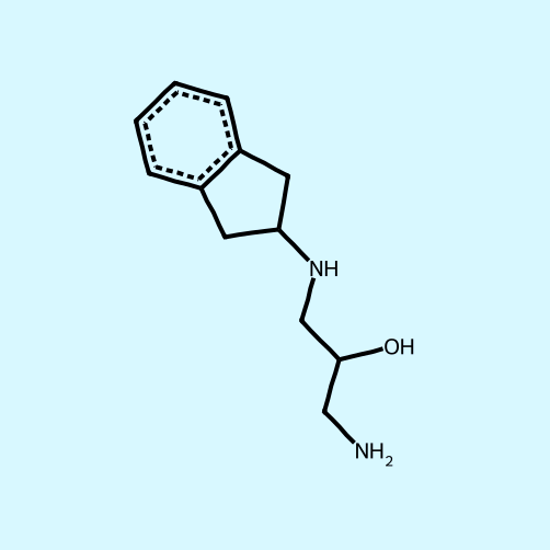 NCC(O)CNC1Cc2ccccc2C1